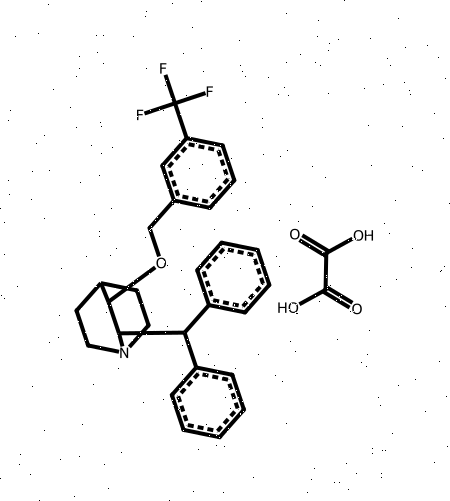 FC(F)(F)c1cccc(COC2C3CCN(CC3)C2C(c2ccccc2)c2ccccc2)c1.O=C(O)C(=O)O